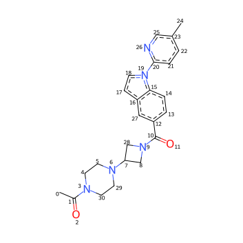 CC(=O)N1CCN(C2CN(C(=O)c3ccc4c(ccn4-c4ccc(C)cn4)c3)C2)CC1